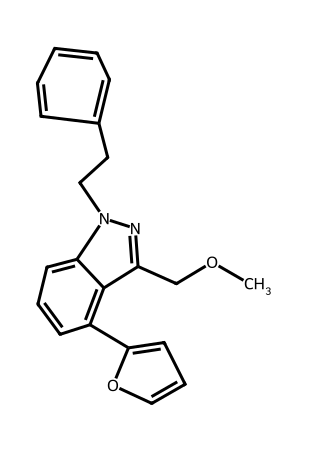 COCc1nn(CCc2ccccc2)c2cccc(-c3ccco3)c12